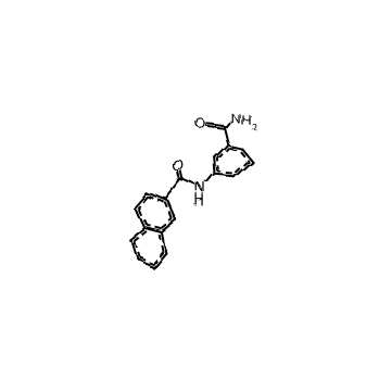 NC(=O)c1cccc(NC(=O)c2ccc3ccccc3c2)c1